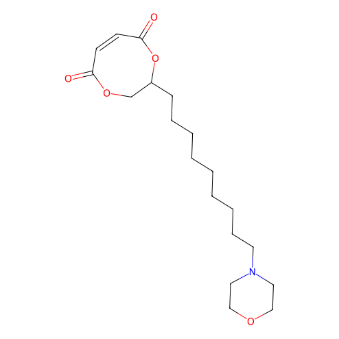 O=C1C=CC(=O)OC(CCCCCCCCCN2CCOCC2)CO1